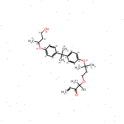 C=CC(=O)C(C)(CC)OCCC(C)(C)Oc1ccc(C(C)(C)c2ccc(OC(C)CCO)cc2)cc1